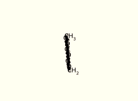 C=COCCOCCOCCOCCOCCOC